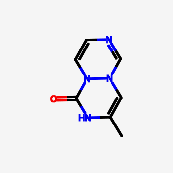 CC1=CN2C=NC=CN2C(=O)N1